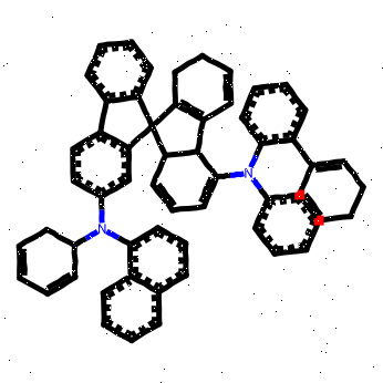 C1=CCC(N(c2ccc3c(c2)C2(C4=C(C=CCC4)C4C(N(c5ccccc5)c5ccccc5C5=CCCC=C5)=CC=CC42)c2ccccc2-3)c2cccc3ccccc23)C=C1